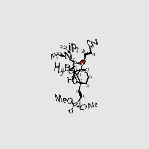 B[C@@H]1O[C@@]2(/C=C/P(=O)(OC)OC)CCO[C@@H]1[C@@H]2OP(OCCC#N)N(C(C)C)C(C)C